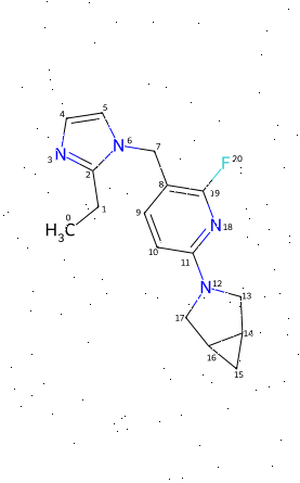 CCc1nccn1Cc1ccc(N2CC3CC3C2)nc1F